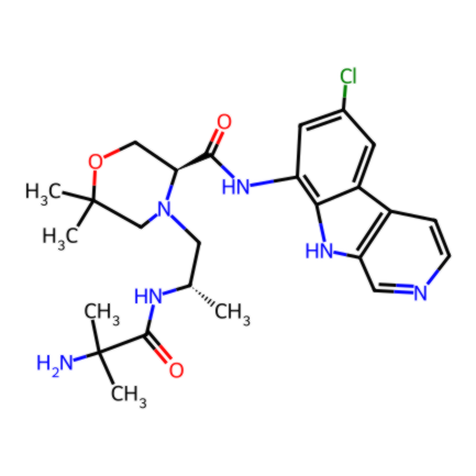 C[C@@H](CN1CC(C)(C)OC[C@H]1C(=O)Nc1cc(Cl)cc2c1[nH]c1cnccc12)NC(=O)C(C)(C)N